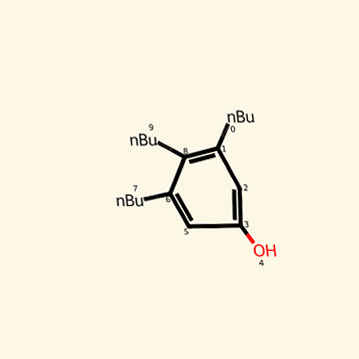 CCCCc1cc(O)cc(CCCC)c1CCCC